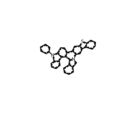 c1ccc(-n2c3ccccc3c3c4c(ccc32)c2cc3sc5ccccc5c3cc2n2cc3ccccc3c42)cc1